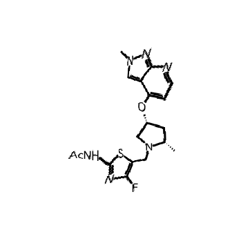 CC(=O)Nc1nc(F)c(CN2C[C@H](Oc3ccnc4nn(C)cc34)C[C@@H]2C)s1